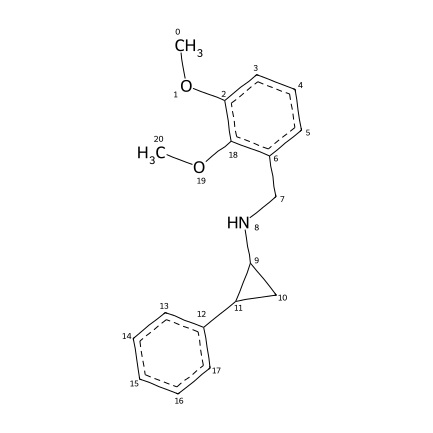 COc1cccc(CNC2CC2c2ccccc2)c1OC